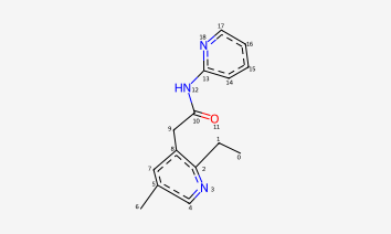 CCc1ncc(C)cc1CC(=O)Nc1ccccn1